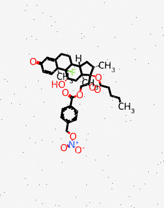 CCCCC(=O)O[C@]1(C(=O)COC(=O)c2ccc(CO[N+](=O)[O-])cc2)[C@@H](C)C[C@H]2C3CCC4=CC(=O)C=C[C@]4(C)[C@@]3(F)[C@@H](O)C[C@@]21C